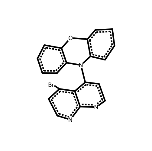 Brc1ccnc2nccc(N3c4ccccc4Oc4ccccc43)c12